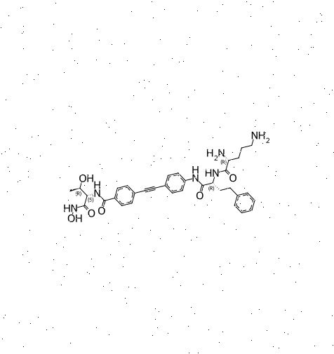 C[C@@H](O)[C@H](NC(=O)c1ccc(C#Cc2ccc(NC(=O)[C@@H](CCc3ccccc3)NC(=O)[C@H](N)CCCN)cc2)cc1)C(=O)NO